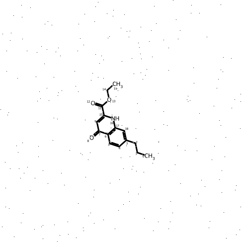 CCCc1ccc2c(=O)cc(C(=O)OCC)[nH]c2c1